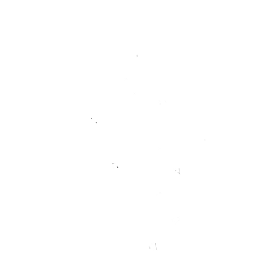 CC(C)(C)OC(=O)c1ncn2c1C1CCCN1C(=O)c1c(Cl)cccc1-2